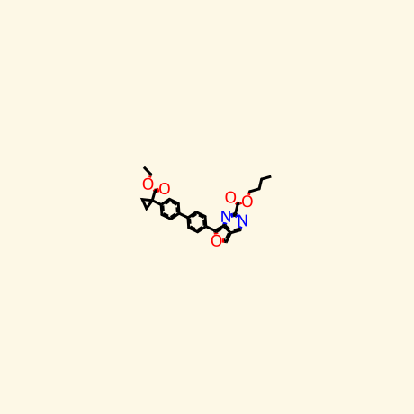 CCCCOC(=O)c1ncc2coc(-c3ccc(-c4ccc(C5(C(=O)OCC)CC5)cc4)cc3)c2n1